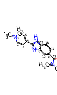 C=N/C=C\C(=C/C)c1nc2cc(C(=O)N(C)C)ccc2[nH]1